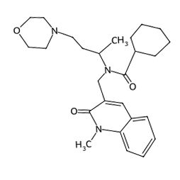 CC(CCN1CCOCC1)N(Cc1cc2ccccc2n(C)c1=O)C(=O)C1CCCCC1